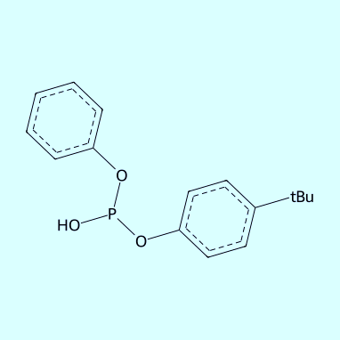 CC(C)(C)c1ccc(OP(O)Oc2ccccc2)cc1